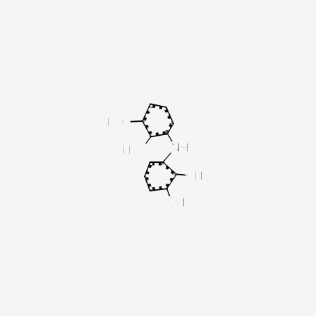 Cc1cccc(Nc2cccc(C)c2C)c1C